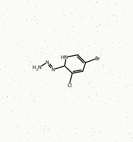 NN=NC1NC=C(Br)C=C1Cl